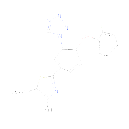 Cc1nc(-c2ccc(Oc3ccccc3F)c(-n3cnnn3)c2)sc1C(=O)O